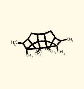 CC1C2CC3C4CC5C(C)C6(C)C5(C)C45C6(C)C4(C)C1(C)C2(C)C345